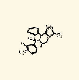 CC1Cn2c(nnc2C(F)(F)F)C(c2ccccc2)N1C(=O)c1cccc(C(F)(F)F)c1Cl